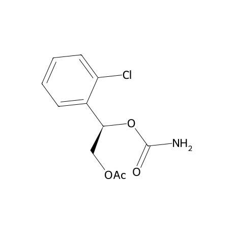 CC(=O)OC[C@H](OC(N)=O)c1ccccc1Cl